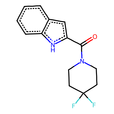 O=C(c1cc2ccccc2[nH]1)N1CCC(F)(F)CC1